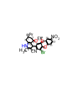 CCCC1CC(=O)C2=C(C1)NC(C)=C(C#N)C2c1cc(Br)c(Oc2ccc([N+](=O)[O-])cc2)c(OCC)c1